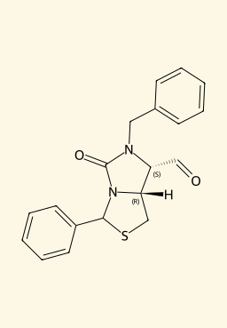 O=C[C@@H]1[C@@H]2CSC(c3ccccc3)N2C(=O)N1Cc1ccccc1